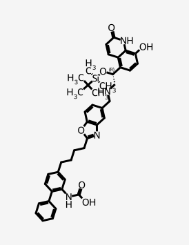 CC(C)(C)[Si](C)(C)O[C@@H](CNCc1ccc2oc(CCCCc3ccc(-c4ccccc4)c(NC(=O)O)c3)nc2c1)c1ccc(O)c2[nH]c(=O)ccc12